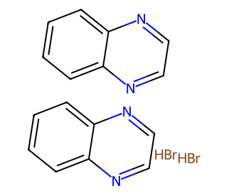 Br.Br.c1ccc2nccnc2c1.c1ccc2nccnc2c1